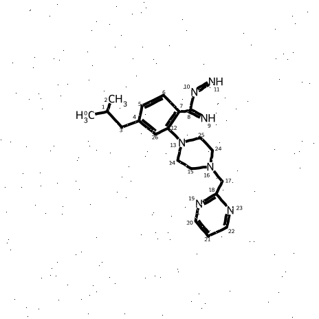 CC(C)Cc1ccc(C(=N)N=N)c(N2CCN(Cc3ncccn3)CC2)c1